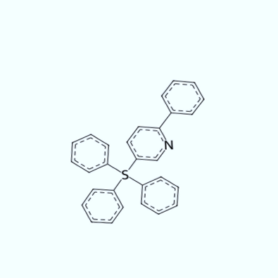 c1ccc(-c2ccc(S(c3ccccc3)(c3ccccc3)c3ccccc3)cn2)cc1